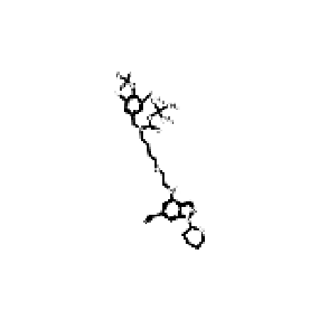 CC(C)(C)OC(=O)N(CCCCOCCNc1cc(C#N)cc2c1cnn2C1CCCCO1)Cc1cc(F)c(OC(F)(F)F)c(F)c1